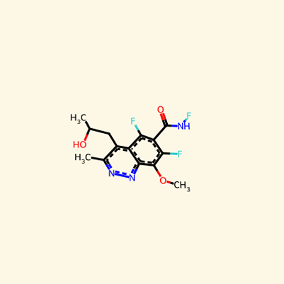 COc1c(F)c(C(=O)NF)c(F)c2c(CC(C)O)c(C)nnc12